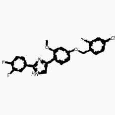 COc1cc(OCc2ccc(Cl)cc2F)ccc1-c1c[nH]c(-c2ccc(F)c(F)c2)n1